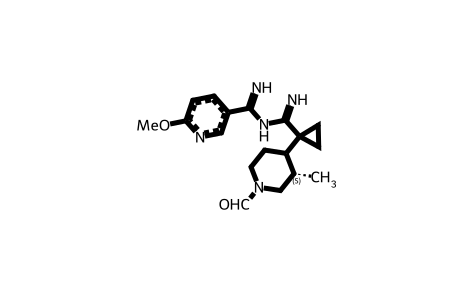 COc1ccc(C(=N)NC(=N)C2(C3CCN(C=O)C[C@H]3C)CC2)cn1